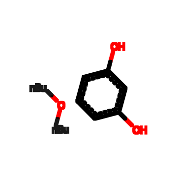 CCCCOCCCC.Oc1cccc(O)c1